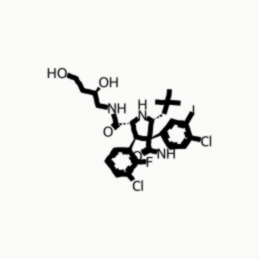 CC(C)(C)C[C@H]1N[C@@H](C(=O)NC[C@H](O)CCO)[C@H](c2cccc(Cl)c2F)[C@@]12C(=O)Nc1cc(Cl)c(I)cc12